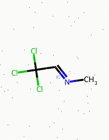 C/N=C/C(Cl)(Cl)Cl